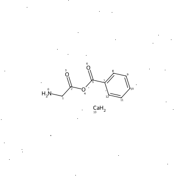 NCC(=O)OC(=O)c1ccccc1.[CaH2]